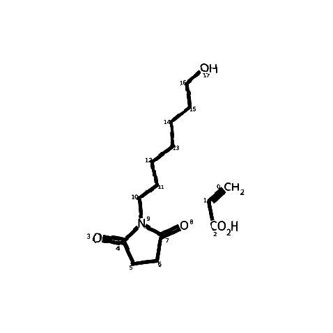 C=CC(=O)O.O=C1CCC(=O)N1CCCCCCCO